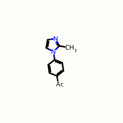 CC(=O)c1ccc(-n2ccnc2C)cc1